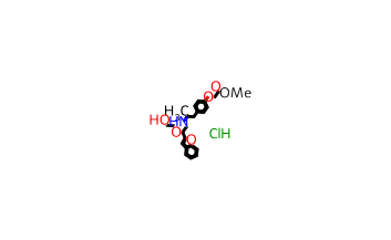 COC(=O)COc1ccc(CC(C)NCC(OCCO)c2cc3ccccc3o2)cc1.Cl